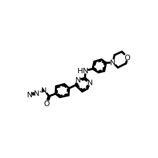 [N-]=[N+]=NC(=O)c1ccc(-c2ccnc(Nc3ccc(N4CCOCC4)cc3)n2)cc1